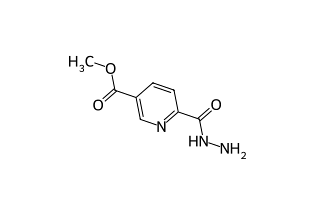 COC(=O)c1ccc(C(=O)NN)nc1